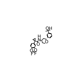 CC(C)(O)c1cccc([C@H]2C[C@H](NC(=O)C3(c4ccc5c(c4)OC(F)(F)O5)CC3)CCO2)c1